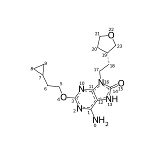 Nc1nc(OCCC2CC2)nc2c1[nH]c(=O)n2CC[C@@H]1CCOC1